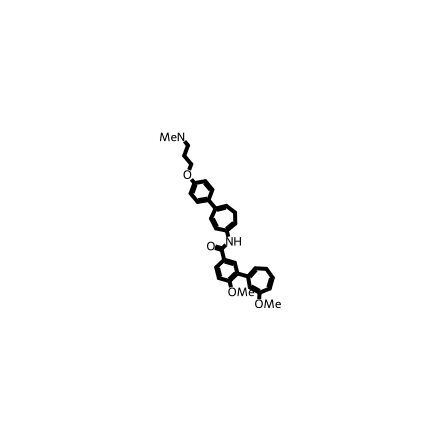 CNCCCOc1ccc(C2=CCC=C(NC(=O)c3ccc(OC)c(C4=CCC=CC(OC)=C4)c3)C=C2)cc1